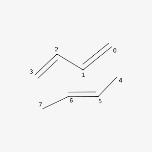 C=CC=C.CC=CC